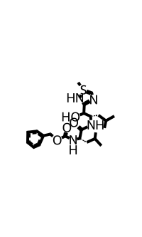 CC(C)C[C@H](NC(=O)OCc1ccccc1)C(=O)N[C@@H](CC(C)C)C(O)C1=NC=S(C)N1